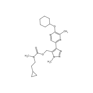 Cc1nc(-c2nnn(C)c2COC(=O)N(C)CCC2CC2)cnc1OC1CCCCC1